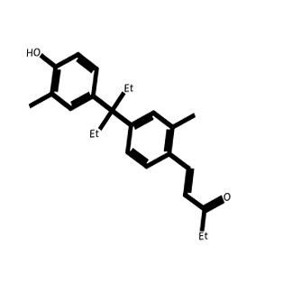 CCC(=O)C=Cc1ccc(C(CC)(CC)c2ccc(O)c(C)c2)cc1C